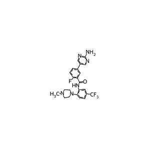 CN1CCN(c2ccc(C(F)(F)F)cc2NC(=O)c2cc(-c3cnc(N)nc3)ccc2F)CC1